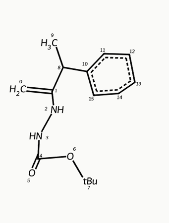 C=C(NNC(=O)OC(C)(C)C)C(C)c1ccccc1